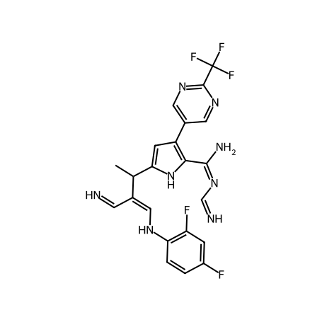 CC(/C(C=N)=C/Nc1ccc(F)cc1F)c1cc(-c2cnc(C(F)(F)F)nc2)c(/C(N)=N\C=N)[nH]1